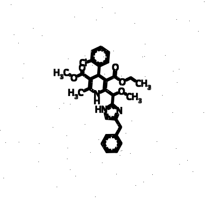 CCOC(=O)C1=C(C(OC)c2nc(Cc3ccccc3)c[nH]2)NC(C)=C(C(=O)OC)C1c1ccccc1Cl